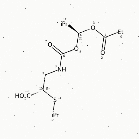 CCC(=O)O[C@@H](OC(=O)NC[C@H](SC(C)C)C(=O)O)C(C)C